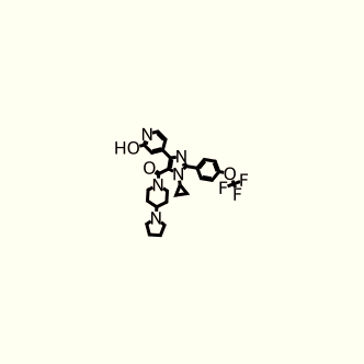 O=C(c1c(-c2ccnc(O)c2)nc(-c2ccc(OC(F)(F)F)cc2)n1C1CC1)N1CCC(N2CCCC2)CC1